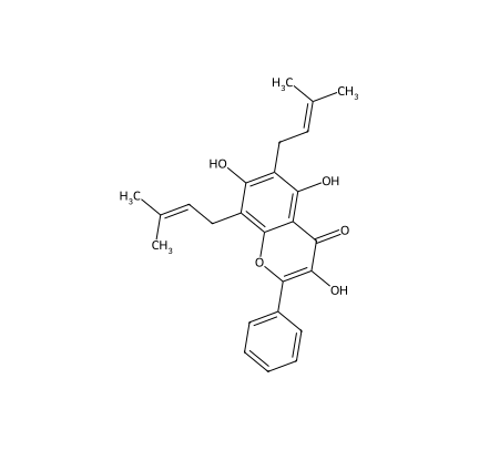 CC(C)=CCc1c(O)c(CC=C(C)C)c2oc(-c3ccccc3)c(O)c(=O)c2c1O